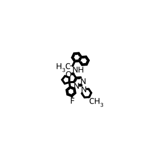 CC1CCN(c2ncc(C(=O)N[C@H](C)c3cccc4ccccc34)c(C3(c4ccc(F)cc4)CCCC3)n2)CC1